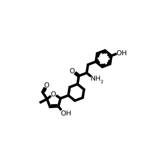 CC1(C=O)C=C(O)C(C2CCCC(C(=O)C(N)Cc3ccc(O)cc3)C2)O1